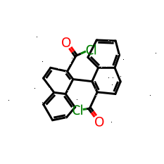 O=C(Cl)c1ccc2ccccc2c1-c1c(C(=O)Cl)ccc2ccccc12